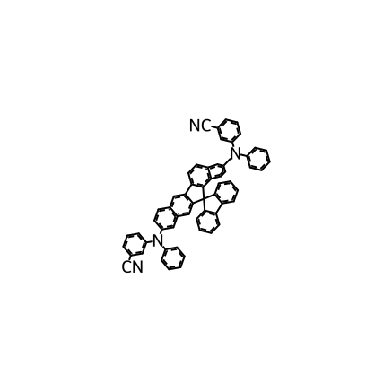 N#Cc1cccc(N(c2ccccc2)c2ccc3cc4c(cc3c2)C2(c3ccccc3-c3ccccc32)c2c-4ccc3cc(N(c4ccccc4)c4cccc(C#N)c4)ccc23)c1